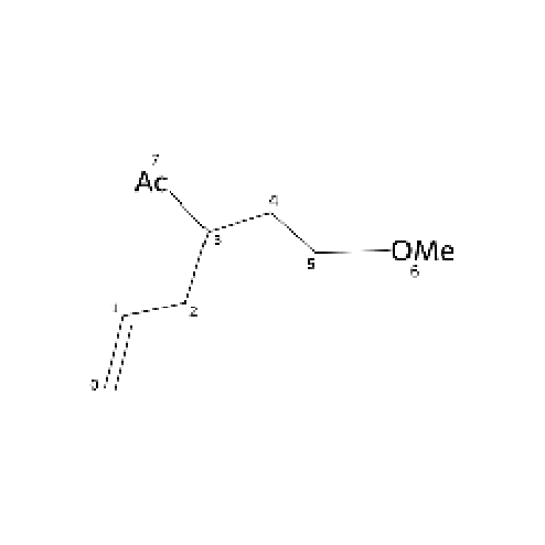 C=CCC(CCOC)C(C)=O